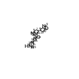 Cc1nc2cc(-c3ccc4ncc(C(=O)N5CC(N6CCNC(C)(C)C6)C5)n4c3)ccc2o1